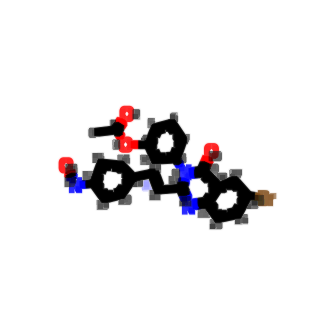 CC(=O)Oc1cccc(-n2c(/C=C/c3ccc(N=O)cc3)nc3ccc(Br)cc3c2=O)c1